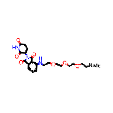 CNCCOCCOCCOCCNc1cccc2c1C(=O)N(C1CCC(=O)NC1=O)C2=O